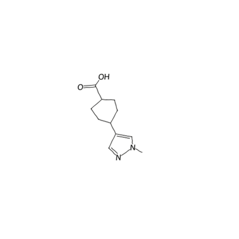 Cn1cc(C2CCC(C(=O)O)CC2)cn1